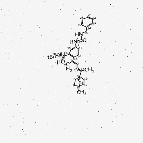 C/C(=C\N=C(/C)C12CCC(C)(CC1)CC2)c1ccc(NC(=O)NCc2ccccc2)cc1N(O)NC(C)(C)C